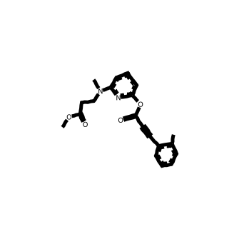 COC(=O)CCN(C)c1cccc(OC(=O)C#Cc2ccccc2C)n1